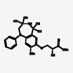 CCCCC1(CCCC)CN(c2ccccc2)c2cc(SC)c(OCC(O)C(=O)OC)cc2S(O)(O)N1